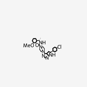 COc1cccc([C@H](C)NC(=O)N2CCN(c3ncnc4[nH]c(-c5ccc(Cl)cc5)cc34)CC2)c1